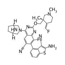 CN1CC/C(=C\F)[C@](C)(COc2nc(N3C[C@H]4CC[C@@H](C3)N4)c3cc(C#N)c(-c4cccc5sc(N)c(C#N)c45)c(F)c3n2)C1